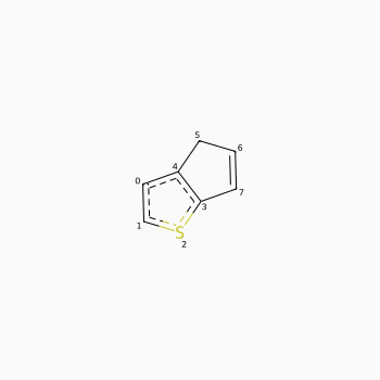 [c]1csc2c1CC=C2